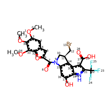 COc1cc2cc(C(=O)N3C[C@@H](CBr)c4c3cc(O)c3[nH]c(C(F)(F)F)c(C(=O)O)c43)oc2c(OC)c1OC